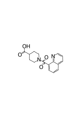 O=C(O)C1CCN(S(=O)(=O)c2cccc3cccnc23)CC1